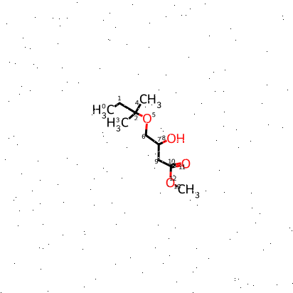 CCC(C)(C)OCC(O)CC(=O)OC